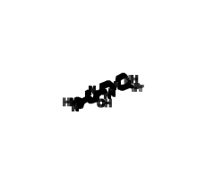 CC(C)[C@H]1CN(c2ccc(-c3ncc(-c4cn[nH]c4)cc3O)nn2)CCN1